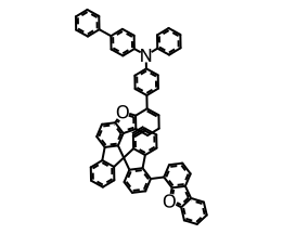 c1ccc2c(c#1)C1(c3ccccc3-c3ccc4oc5c(c4c31)CCC=C5c1ccc(N(c3ccccc3)c3ccc(-c4ccccc4)cc3)cc1)c1cccc(-c3cccc4c3oc3ccccc34)c1-2